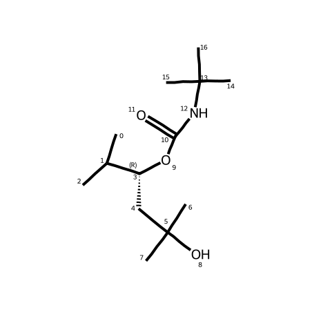 CC(C)[C@@H](CC(C)(C)O)OC(=O)NC(C)(C)C